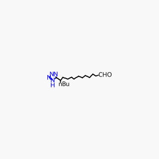 CCCCC(CCCCCCCCCCC=O)c1nnn[nH]1